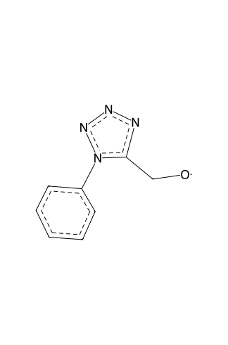 [O]Cc1nnnn1-c1ccccc1